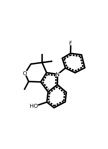 CC1OCC(C)(C)c2c1c1c(O)cccc1n2-c1cccc(F)c1